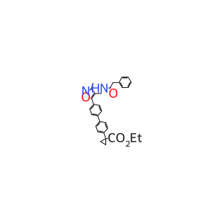 CCOC(=O)C1(c2ccc(-c3ccc(-c4onc(C)c4CNC(=O)Cc4ccccc4)cc3)cc2)CC1